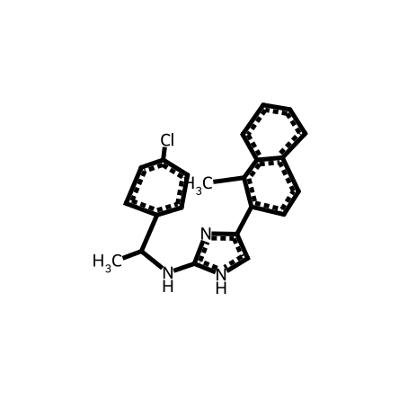 Cc1c(-c2c[nH]c(NC(C)c3ccc(Cl)cc3)n2)ccc2ccccc12